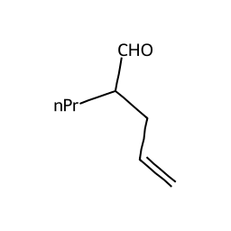 C=CCC(C=O)CCC